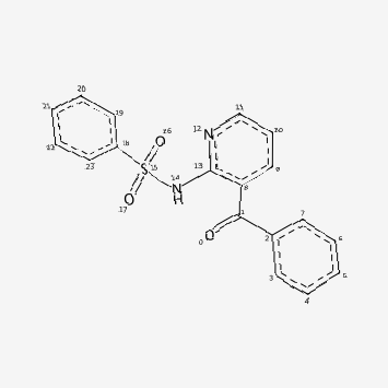 O=C(c1ccccc1)c1cccnc1NS(=O)(=O)c1ccccc1